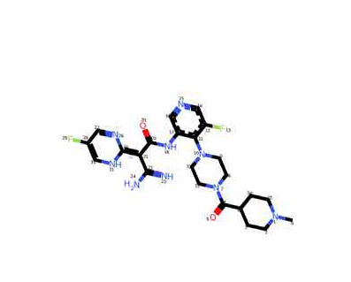 CN1CCC(C(=O)N2CCN(c3c(F)cncc3NC(=O)/C(C(=N)N)=C3\N=CC(F)=CN3)CC2)CC1